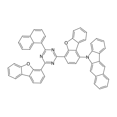 c1ccc2cc3c(cc2c1)c1ccccc1n3-c1ccc(-c2nc(-c3cccc4ccccc34)nc(-c3cccc4c3oc3ccccc34)n2)c2oc3ccccc3c12